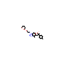 Cc1ccc(C(C)(Cc2ccc3c(nnn3CCCOC3CCCCO3)c2C)C(=O)O)cc1